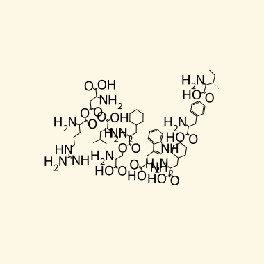 CC(C)C[C@H](N)C(=O)O.CC[C@H](C)[C@H](N)C(=O)O.N=C(N)NCCC[C@@H](N)C(=O)OC(=O)C[C@H](N)C(=O)O.N[C@@H](CC1CCCCC1)C(=O)O.N[C@@H](Cc1c[nH]c2ccccc12)C(=O)O.N[C@@H](Cc1ccccc1)C(=O)O.N[C@H](COC(=O)[C@@H](N)CC1CCCCC1)C(=O)O